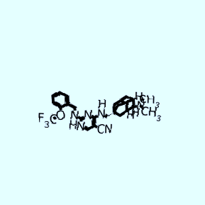 CN(C)[C@@H]1[C@@H]2CC3C[C@H]1C[C@](CNc1nc(NCc4ccccc4OC(F)(F)F)ncc1C#N)(C3)C2